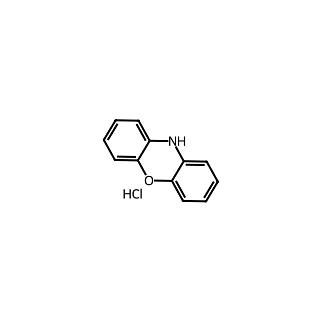 Cl.c1ccc2c(c1)Nc1ccccc1O2